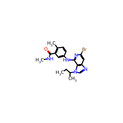 CCC(C)n1cnc2cc(Br)nc(Nc3ccc(C)c(C(=O)NC)c3)c21